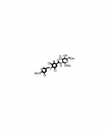 COc1ncc(COc2c(Cl)cc(C(=O)N[C@H]3[C@@H](OC)O[C@H](CO)[C@@H](O)[C@@H]3O)c(C)c2Cl)cc1Cl